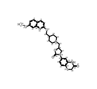 COc1ccc2ccc(OCC3CCN(CC4CN(c5ccc6c(c5)NC(=O)CS6)C(=O)O4)CC3)nc2c1